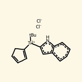 C[C](C)(C)[Ti+2]([C]1=CC=CC1)[c]1cc2ccccc2[nH]1.[Cl-].[Cl-]